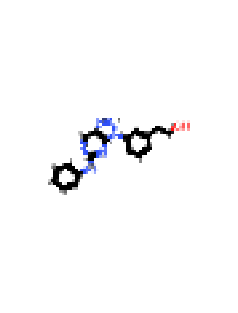 OCCc1cccc(-n2nnc3cnc(Nc4ccccc4)nc32)c1